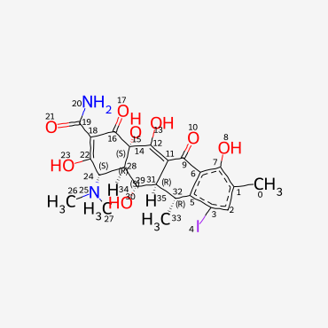 Cc1cc(I)c2c(c1O)C(=O)C1=C(O)[C@]3(O)C(=O)C(C(N)=O)=C(O)[C@@H](N(C)C)[C@@H]3[C@@H](O)[C@@H]1[C@H]2C